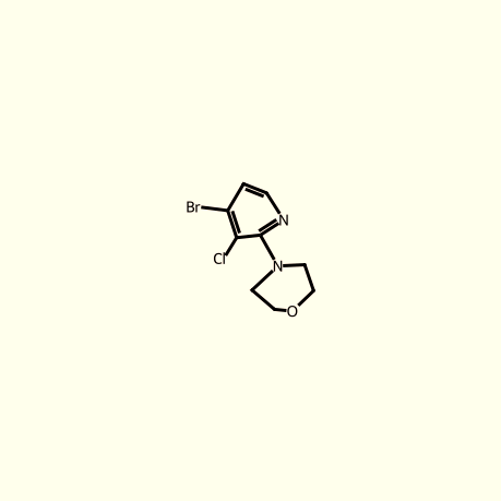 Clc1c(Br)ccnc1N1CCOCC1